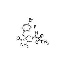 CS(=O)(=O)N[C@H]1CC[C@](Cc2ccc(Br)c(F)c2)(C(N)=O)C1